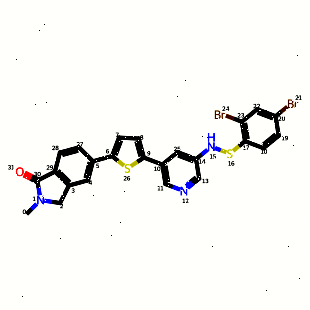 CN1Cc2cc(-c3ccc(-c4cncc(NSc5ccc(Br)cc5Br)c4)s3)ccc2C1=O